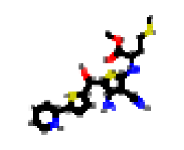 COC(=O)C(CCSC)Nc1sc(C(=O)c2ccc(-c3ccccn3)s2)c(N)c1C#N